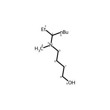 CCCCC(CC)N(C)CCCCO